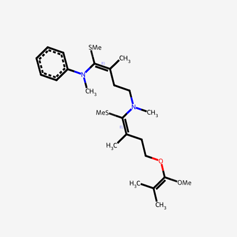 COC(OCC/C(C)=C(/SC)N(C)CC/C(C)=C(/SC)N(C)c1ccccc1)=C(C)C